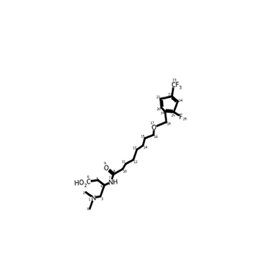 CN(C)CC(CC(=O)O)NC(=O)CCCCCCCOCc1ccc(C(F)(F)F)cc1F